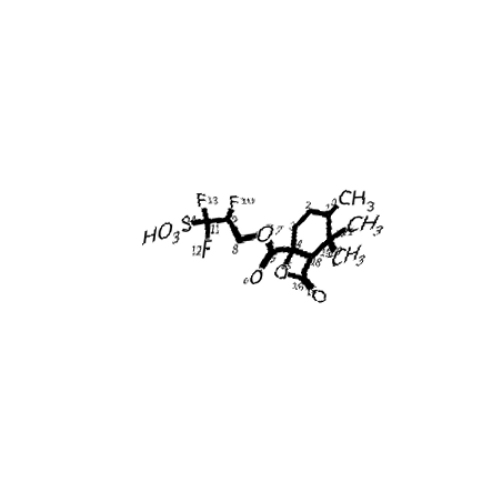 CC1CCC2(C(=O)OCC(F)C(F)(F)S(=O)(=O)O)OC(=O)C2C1(C)C